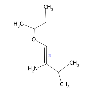 CCC(C)O/C=C(\N)C(C)C